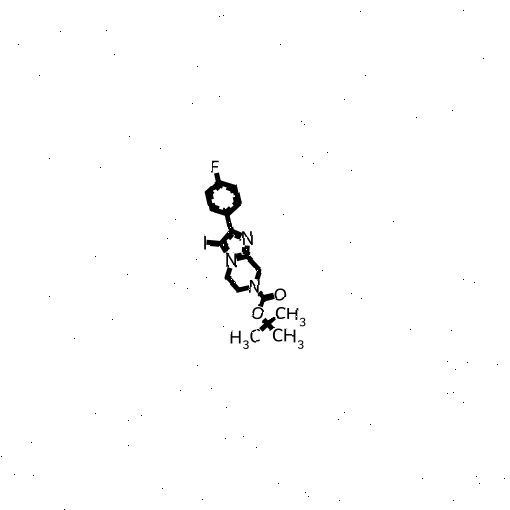 CC(C)(C)OC(=O)N1CCn2c(nc(-c3ccc(F)cc3)c2I)C1